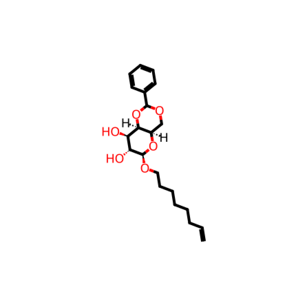 C=CCCCCCCO[C@@H]1O[C@@H]2COC(c3ccccc3)O[C@@H]2[C@H](O)[C@H]1O